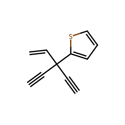 C#CC(C#C)(C=C)c1cccs1